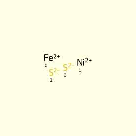 [Fe+2].[Ni+2].[S-2].[S-2]